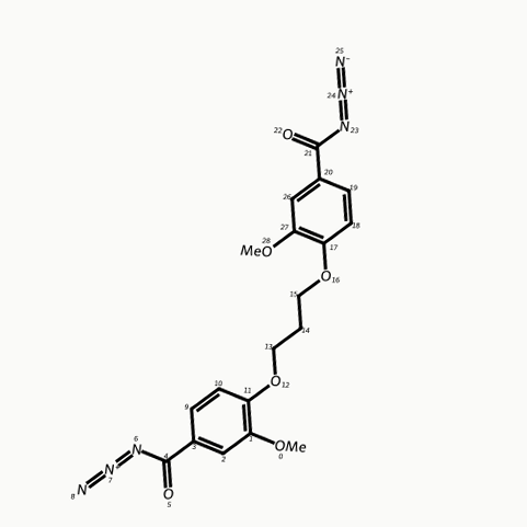 COc1cc(C(=O)N=[N+]=[N-])ccc1OCCCOc1ccc(C(=O)N=[N+]=[N-])cc1OC